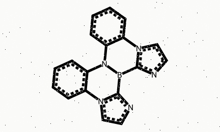 c1ccc2c(c1)N1B(c3nccn3-2)c2nccn2-c2ccccc21